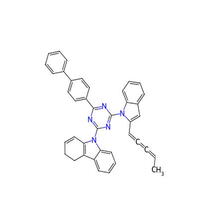 CC=C=C=Cc1cc2ccccc2n1-c1nc(-c2ccc(-c3ccccc3)cc2)nc(-n2c3c(c4ccccc42)CCC=C3)n1